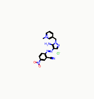 C[n+]1cccc(Cn2ncc(N=Nc3ccc([N+](=O)[O-])cc3C#N)c2N)c1.[Cl-]